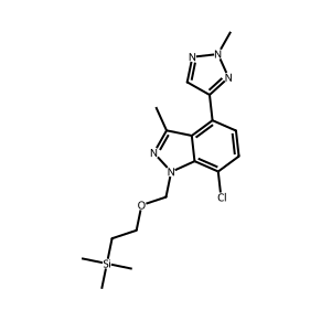 Cc1nn(COCC[Si](C)(C)C)c2c(Cl)ccc(-c3cnn(C)n3)c12